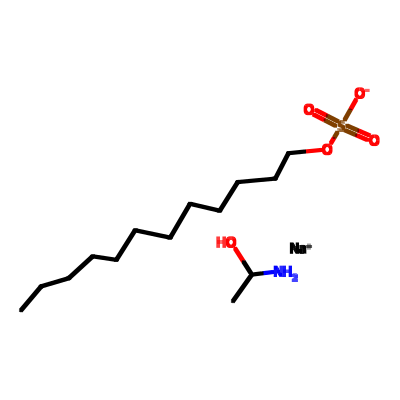 CC(N)O.CCCCCCCCCCCCOS(=O)(=O)[O-].[Na+]